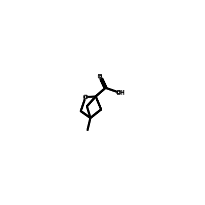 CC12COC(C(=O)O)(C1)C2